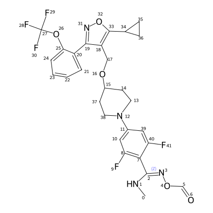 CN/C(=N\OC=O)c1c(F)cc(N2CCC(OCc3c(-c4ccccc4OC(F)(F)F)noc3C3CC3)CC2)cc1F